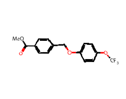 COC(=O)c1ccc(COc2ccc(OC(F)(F)F)cc2)cc1